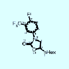 CCCCCCC1CN(c2ccc(F)c(C(F)(F)F)c2)C(=O)O1